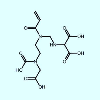 C=CC(=O)N(CCN(CC(=O)O)C(=O)O)CNC(C(=O)O)C(=O)O